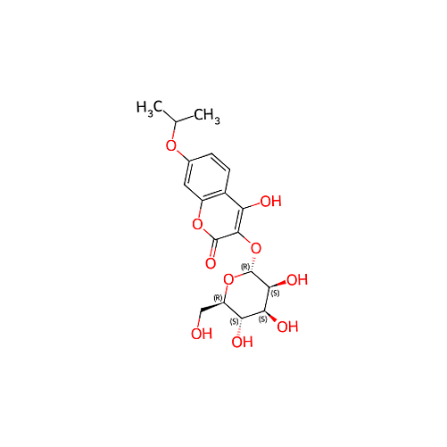 CC(C)Oc1ccc2c(O)c(O[C@H]3O[C@H](CO)[C@@H](O)[C@H](O)[C@@H]3O)c(=O)oc2c1